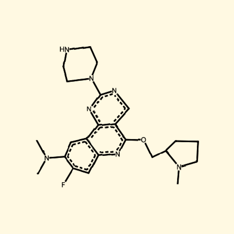 CN(C)c1cc2c(cc1F)nc(OCC1CCCN1C)c1cnc(N3CCNCC3)nc12